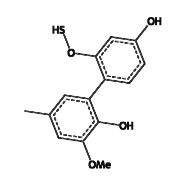 COc1cc(C)cc(-c2ccc(O)cc2OS)c1O